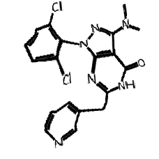 CN(C)c1nn(-c2c(Cl)cccc2Cl)c2nc(Cc3cccnc3)[nH]c(=O)c12